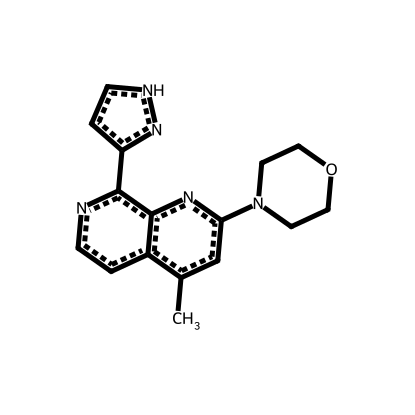 Cc1cc(N2CCOCC2)nc2c(-c3cc[nH]n3)nccc12